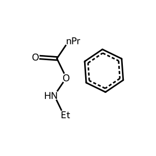 CCCC(=O)ONCC.c1ccccc1